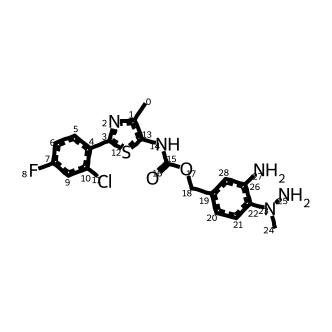 Cc1nc(-c2ccc(F)cc2Cl)sc1NC(=O)OCc1ccc(N(C)N)c(N)c1